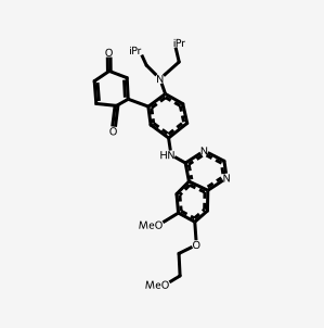 COCCOc1cc2ncnc(Nc3ccc(N(CC(C)C)CC(C)C)c(C4=CC(=O)C=CC4=O)c3)c2cc1OC